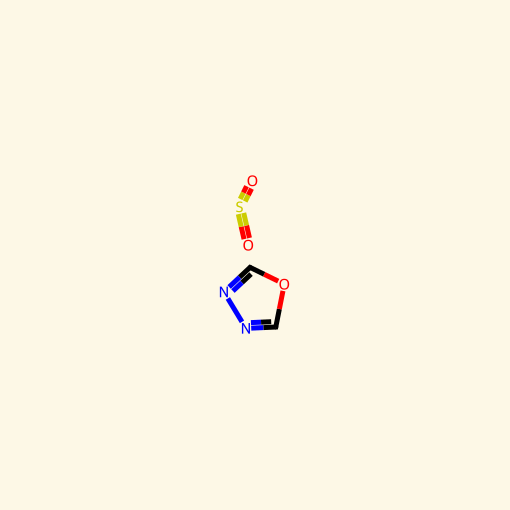 O=S=O.c1nnco1